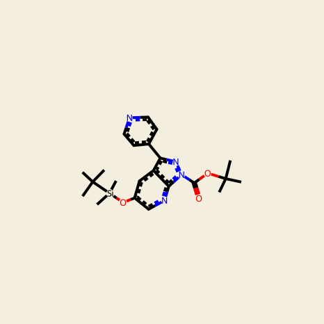 CC(C)(C)OC(=O)n1nc(-c2ccncc2)c2cc(O[Si](C)(C)C(C)(C)C)cnc21